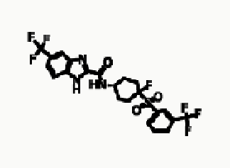 O=C(N[C@H]1CC[C@@](F)(S(=O)(=O)c2cccc(C(F)(F)F)c2)CC1)c1nc2cc(C(F)(F)F)ccc2[nH]1